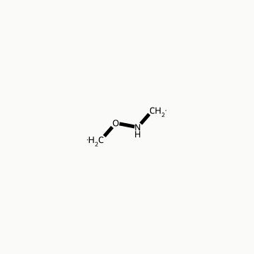 [CH2]NO[CH2]